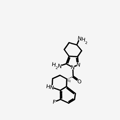 Nc1c2c(nn1C(=O)[C@H]1CCNc3c(F)cccc31)CC(N)CC2